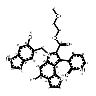 COCCOC(=O)c1c(-c2ccc[nH]c2=O)c2c3occc3c(F)cc2n1Cc1cc2nc[nH]c2cc1Cl